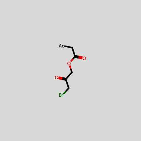 CC(=O)CC(=O)OCC(=O)CBr